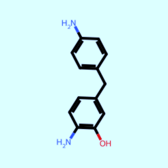 Nc1ccc(Cc2ccc(N)c(O)c2)cc1